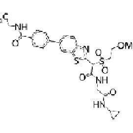 COCCS(=O)(=O)C(C(=O)NCC(=O)NC1CC1)c1nc2ccc(-c3ccc(C(=O)NCC(F)(F)F)cc3)cc2s1